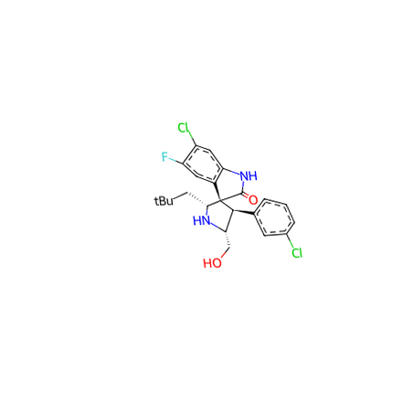 CC(C)(C)C[C@H]1N[C@@H](CO)[C@H](c2cccc(Cl)c2)[C@@]12C(=O)Nc1cc(Cl)c(F)cc12